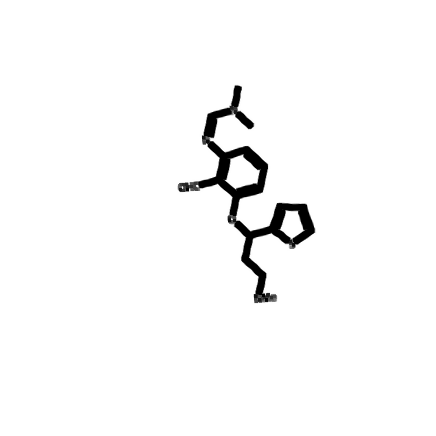 CNCCC(Oc1cccc(/N=C\N(C)C)c1C=O)c1cccs1